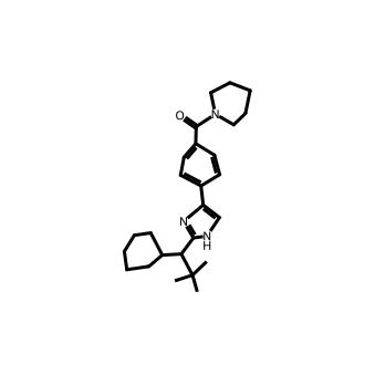 CC(C)(C)C(c1nc(-c2ccc(C(=O)N3CCCCC3)cc2)c[nH]1)C1CCCCC1